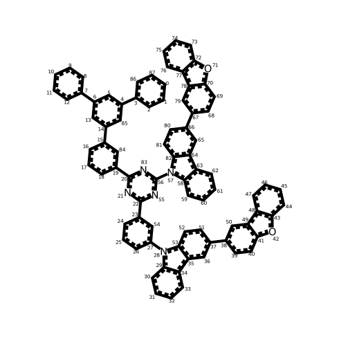 c1ccc(-c2cc(-c3ccccc3)cc(-c3cccc(-c4nc(-c5cccc(-n6c7ccccc7c7cc(-c8ccc9oc%10ccccc%10c9c8)ccc76)c5)nc(-n5c6ccccc6c6cc(-c7ccc8oc9ccccc9c8c7)ccc65)n4)c3)c2)cc1